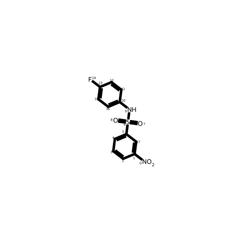 O=[N+]([O-])c1cccc(S(=O)(=O)Nc2ccc(F)cc2)c1